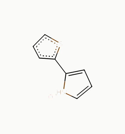 [O-][SH+]1C=CC=C1c1cccs1